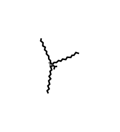 CCCCCCCCCCC[CH2][Ti]([CH2]CCCCCCCCCCC)([CH2]CCCCCCCCCCC)[CH](C)C